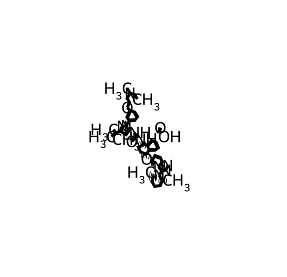 CCN(C)CCOc1cccc(-n2nc(C(C)(C)C)cc2NC(=O)N[C@H]2CC[C@@H](Oc3ccc4nnc(N5[C@H](C)CCC[C@@H]5C)n4c3)c3ccccc32)c1.O=CO